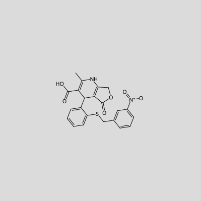 CC1=C(C(=O)O)C(c2ccccc2SCc2cccc([N+](=O)[O-])c2)C2=C(COC2=O)N1